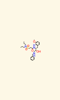 CCCN(CCC)S(=O)(=O)CCC(=O)N[C@@H](Cc1cccc(OC)c1)[C@@H](O)CNCc1ccccc1